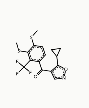 CSc1ccc(C(=O)c2cnoc2C2CC2)c(C(F)(F)F)c1SC